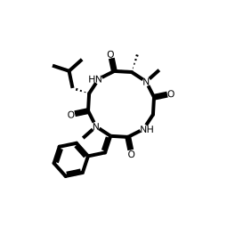 CC(C)C[C@@H]1NC(=O)[C@H](C)N(C)C(=O)CNC(=O)/C(=C/c2ccccc2)N(C)C1=O